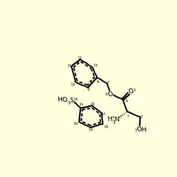 N[C@@H](CO)C(=O)OCc1ccccc1.O=S(=O)(O)c1ccccc1